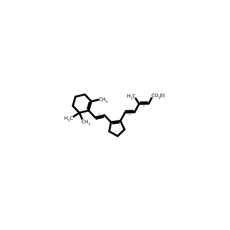 CCOC(=O)/C=C(C)/C=C/C1=C(/C=C/C2=C(C)CCCC2(C)C)CCC1